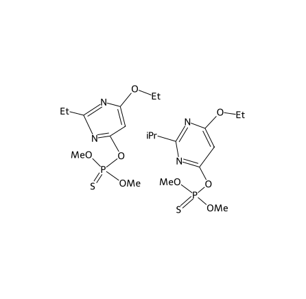 CCOc1cc(OP(=S)(OC)OC)nc(C(C)C)n1.CCOc1cc(OP(=S)(OC)OC)nc(CC)n1